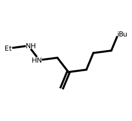 C=C(CCCC(C)CC)CNNCC